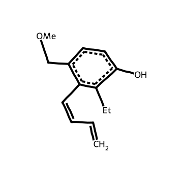 C=C/C=C\c1c(COC)ccc(O)c1CC